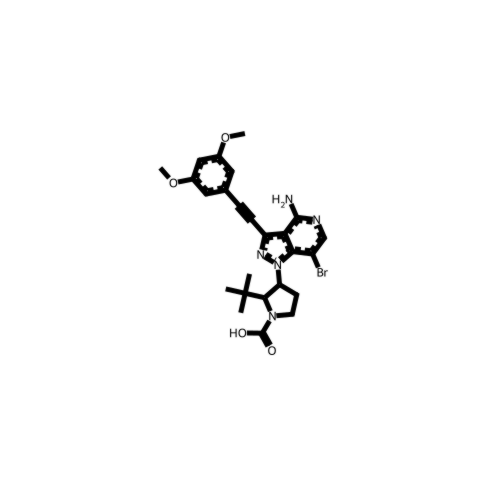 COc1cc(C#Cc2nn(C3CCN(C(=O)O)C3C(C)(C)C)c3c(Br)cnc(N)c23)cc(OC)c1